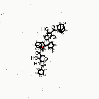 O=C/C(C(=O)NC12CC3CC(C1)CC(c1cc(F)ccc1[C@@H]1SCC4C(O)=C(C(=O)NC56CC7CC(CC(C7)C5)C6)C(=O)N41)(C3)C2)=C(/O)C1CS[C@@H](c2ccccc2)N1